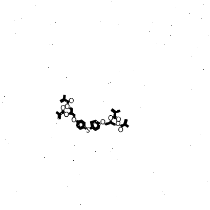 C=C(C)C(=O)OCC(COc1ccc(Sc2ccc(OCC(COC(=O)C(=C)C)OC(=O)C(=C)C)cc2)cc1)OC(=O)C(=C)C